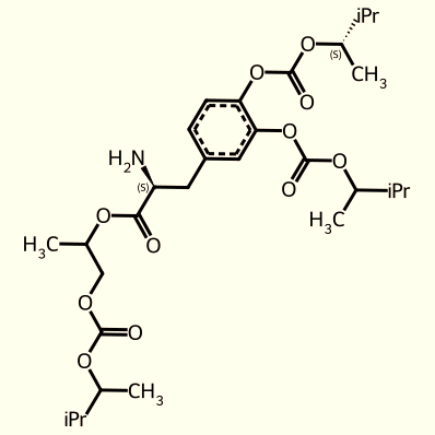 CC(COC(=O)OC(C)C(C)C)OC(=O)[C@@H](N)Cc1ccc(OC(=O)O[C@@H](C)C(C)C)c(OC(=O)OC(C)C(C)C)c1